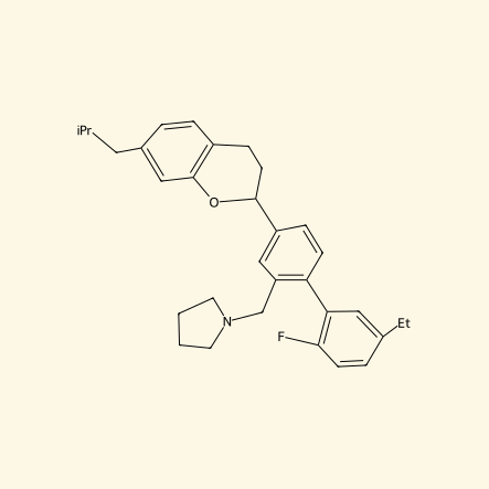 CCc1ccc(F)c(-c2ccc(C3CCc4ccc(CC(C)C)cc4O3)cc2CN2CCCC2)c1